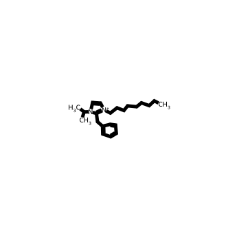 CCCCCCCCC[n+]1ccn(C(C)C)c1Cc1ccccc1